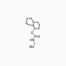 CC(C)(C)CNC(=O)Oc1cccc2ccccc12